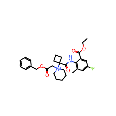 CCOC(=O)c1cc(F)cc(C)c1NC(=O)C1([N+]2(CC(=O)OCc3ccccc3)CCCCC2)CCC1